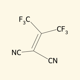 N#CC(C#N)=C(C(F)(F)F)C(F)(F)F